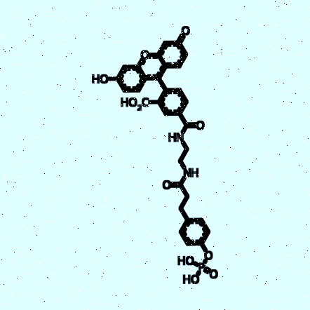 O=C(CCc1ccc(OP(=O)(O)O)cc1)NCCNC(=O)c1ccc(-c2c3ccc(=O)cc-3oc3cc(O)ccc23)c(C(=O)O)c1